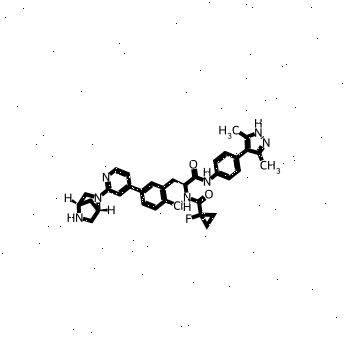 Cc1n[nH]c(C)c1-c1ccc(NC(=O)[C@H](Cc2cc(-c3ccnc(N4C[C@@H]5C[C@H]4CN5)c3)ccc2Cl)NC(=O)C2(F)CC2)cc1